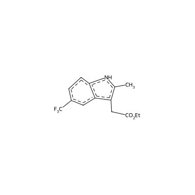 CCOC(=O)Cc1c(C)[nH]c2ccc(C(F)(F)F)cc12